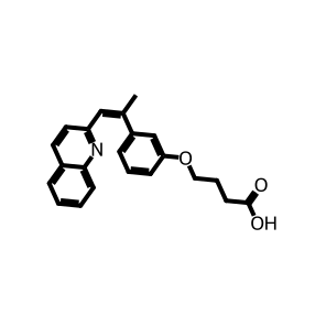 CC(=Cc1ccc2ccccc2n1)c1cccc(OCCCC(=O)O)c1